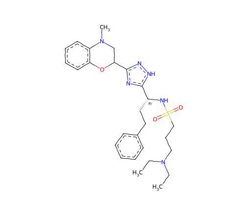 CCN(CC)CCCS(=O)(=O)N[C@H](CCc1ccccc1)c1nc(C2CN(C)c3ccccc3O2)n[nH]1